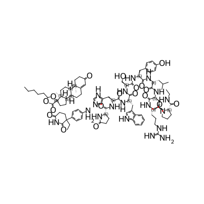 CCC1(c2ccc(N)cc2)CCC(=O)NC1=O.CCCCCC(=O)O[C@]1(C(C)=O)CC[C@H]2[C@@H]3CCC4=CC(=O)CC[C@]4(C)[C@H]3CC[C@@]21C.CCNC(=O)[C@@H]1CCCN1C(=O)[C@H](CCCNC(=N)N)NC(=O)[C@H](CC(C)C)NC(=O)[C@@H](CC(C)C)NC(=O)[C@H](Cc1ccc(O)cc1)NC(=O)[C@H](CO)NC(=O)[C@H](Cc1c[nH]c2ccccc12)NC(=O)[C@H](Cc1cnc[nH]1)NC(=O)[C@@H]1CCC(=O)N1